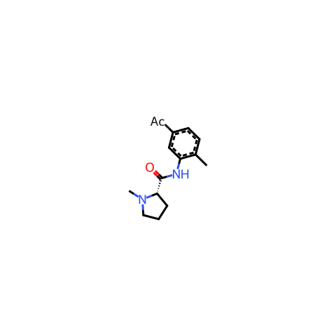 CC(=O)c1ccc(C)c(NC(=O)[C@@H]2CCCN2C)c1